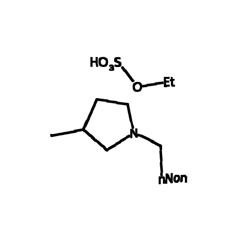 CCCCCCCCCCN1CCC(C)C1.CCOS(=O)(=O)O